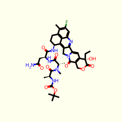 CC[C@@]1(O)C(=O)OCc2c1cc1n(c2=O)Cc2c-1nc1cc(F)c(C)c3c1c2[C@@H](NC(=O)[C@H](CC(N)=O)NC(=O)[C@H](C)N(C)C(=O)[C@H](C)NC(=O)OC(C)(C)C)CC3